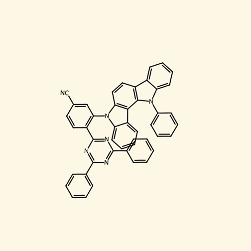 N#Cc1ccc(-c2nc(-c3ccccc3)nc(-c3ccccc3)n2)c(-n2c3ccccc3c3c2ccc2c4ccccc4n(-c4ccccc4)c23)c1